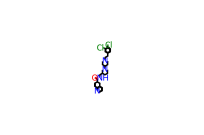 O=C(NCC1CCCN(C2CCN(CCc3ccc(Cl)c(Cl)c3)CC2)C1)C1C=Cc2ncccc2C1